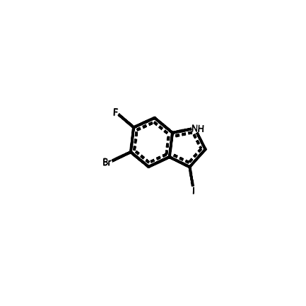 Fc1cc2[nH]cc(I)c2cc1Br